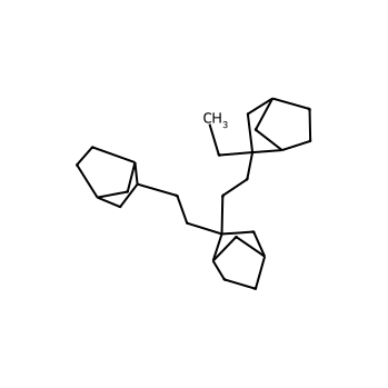 CCC1(CCC2(CCC3CC4CCC3C4)CC3CCC2C3)CC2CCC1C2